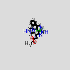 COC(=O)/C=C/c1n[nH]c2ncc(-c3ccccc3)c(N3CCNCC3)c12.Cl